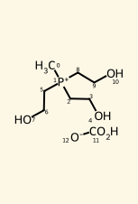 C[P+](CCO)(CCO)CCO.O=C([O-])O